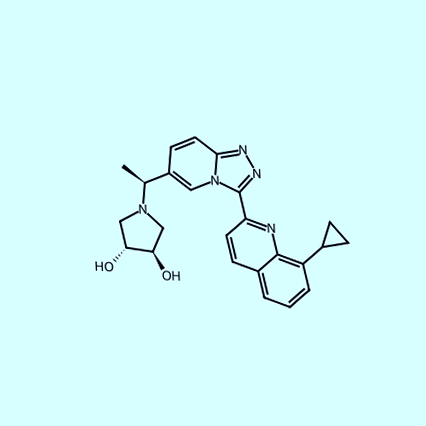 C[C@@H](c1ccc2nnc(-c3ccc4cccc(C5CC5)c4n3)n2c1)N1C[C@@H](O)[C@H](O)C1